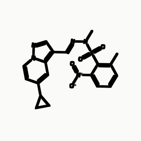 Cc1cccc([N+](=O)[O-])c1S(=O)(=O)N(C)N=Cc1cnn2ccc(C3CC3)cc12